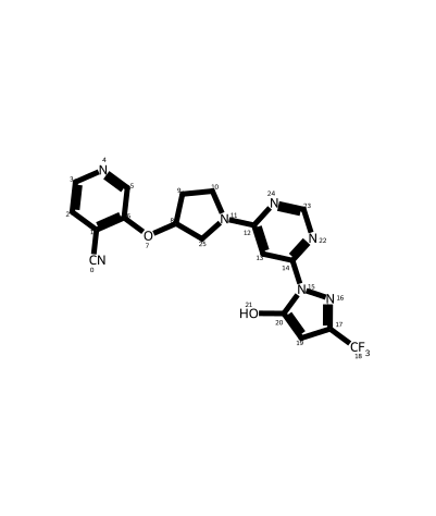 N#Cc1ccncc1OC1CCN(c2cc(-n3nc(C(F)(F)F)cc3O)ncn2)C1